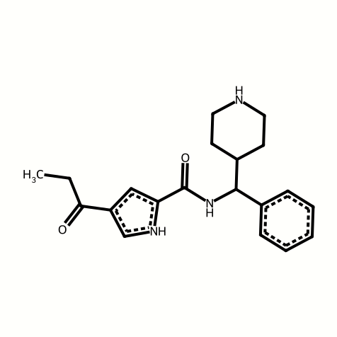 CCC(=O)c1c[nH]c(C(=O)NC(c2ccccc2)C2CCNCC2)c1